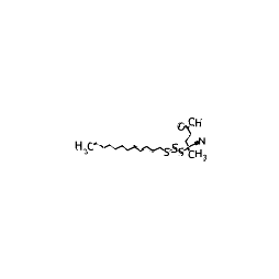 CCCCCCCCCCCCSSSC(C)(C#N)CCC(=O)O